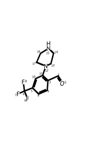 O=Cc1ccc(C(F)(F)F)cc1N1CCNCC1